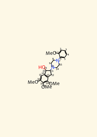 COc1ccccc1N1CCN(C2Cc3c(cc(OC)c(OC)c3OC)C2O)CC1